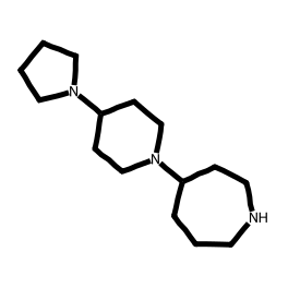 C1CNCCC(N2CCC(N3CCCC3)CC2)C1